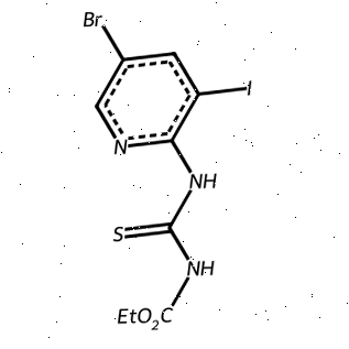 CCOC(=O)NC(=S)Nc1ncc(Br)cc1I